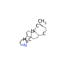 C/C1=C\CCCCC2CC[C@]3(C)C(c4cccnc4)=CCC3[C@@H]2CC1